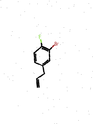 C=CCc1ccc(F)c(Br)c1